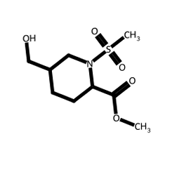 COC(=O)C1CCC(CO)CN1S(C)(=O)=O